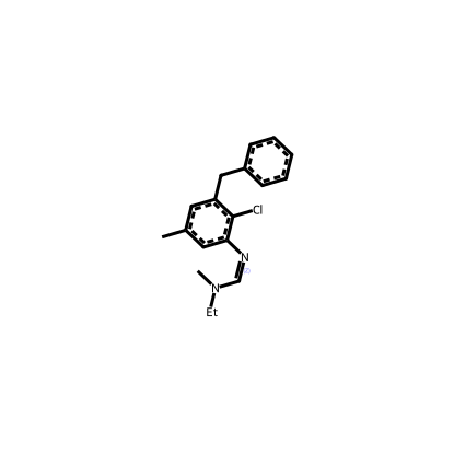 CCN(C)/C=N\c1cc(C)cc(Cc2ccccc2)c1Cl